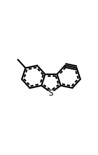 Cc1ccc2sc3ccc#cc3c2c1